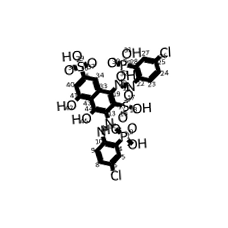 O=P(O)(O)c1cc(Cl)ccc1N=Nc1c(S(=O)(=O)O)c(N=Nc2ccc(Cl)cc2P(=O)(O)O)c2cc(S(=O)(=O)O)cc(O)c2c1O